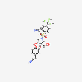 N#CCc1ccc(O[C@H]2CN(S(=O)(=O)c3ccc(C(F)(F)F)cc3C#N)C[C@@]2(O)CO)cc1